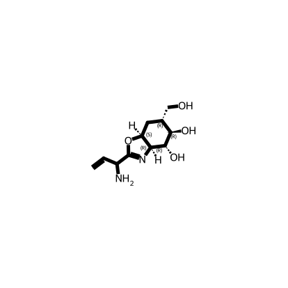 C=CC(N)C1=N[C@@H]2[C@@H](O)[C@H](O)[C@@H](CO)C[C@@H]2O1